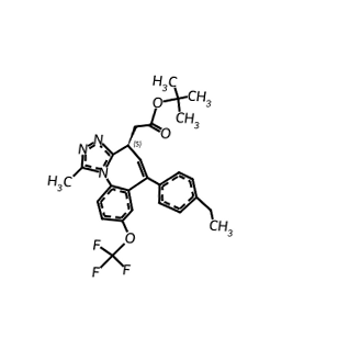 CCc1ccc(C2=C[C@H](CC(=O)OC(C)(C)C)c3nnc(C)n3-c3ccc(OC(F)(F)F)cc32)cc1